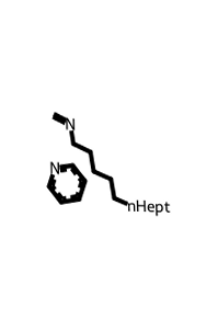 C=NCCCCCCCCCCCC.c1ccncc1